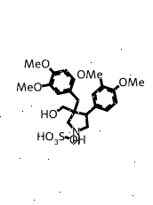 COc1ccc(CC2(CO)CNCC2c2ccc(OC)c(OC)c2)cc1OC.O=S(=O)(O)O